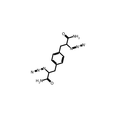 [N-]=[N+]=NC(Cc1ccc(CC(N=[N+]=[N-])C(N)=O)cc1)C(N)=O